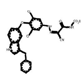 CCOC(=O)NC(=O)C(C#N)=NNc1cc(Cl)c(Oc2ccc3[nH]cc(Cc4ccccc4)c3c2)c(Cl)c1